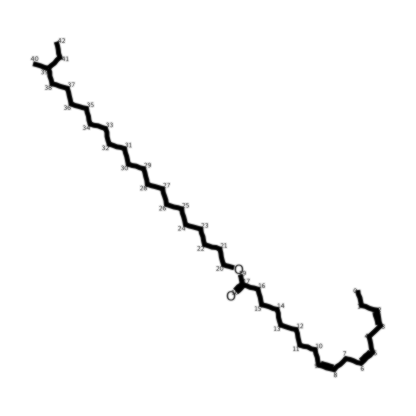 CC/C=C\C/C=C\C/C=C\CCCCCCCC(=O)OCCCCCCCCCCCCCCCCCCCC(C)CC